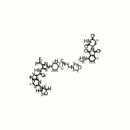 CN(CCN1CCO[C@@H](CCNc2cccc3c2C(=O)N(C2CCC(=O)NC2=O)C3=O)C1)C[C@H]1CC[C@H](n2cc(NC(=O)c3cnn4ccc(N5C[C@H]6C[C@@H]5CO6)nc34)c(C(F)F)n2)CC1